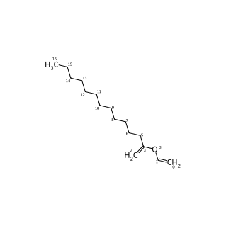 C=COC(=C)CCCCCCCCCCCC